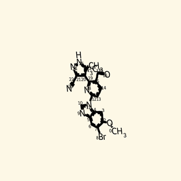 COc1cc2c(cc1Br)ncn2-c1ccc(C(C)=O)c(-c2c(C#N)n[nH]c2C)n1